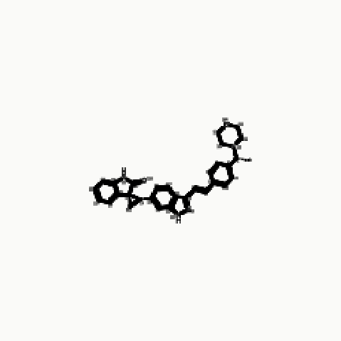 C[C@H](c1ccc(/C=C/c2n[nH]c3cc([C@@H]4C[C@@]45C(=O)Nc4ccccc45)ccc23)cc1)N1CCOCC1